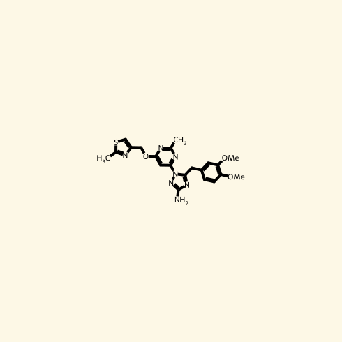 COc1ccc(Cc2nc(N)nn2-c2cc(OCc3csc(C)n3)nc(C)n2)cc1OC